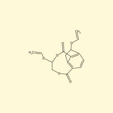 C=COC1COC(=O)c2ccc3c(c2CC3OC=C)C(=O)O1